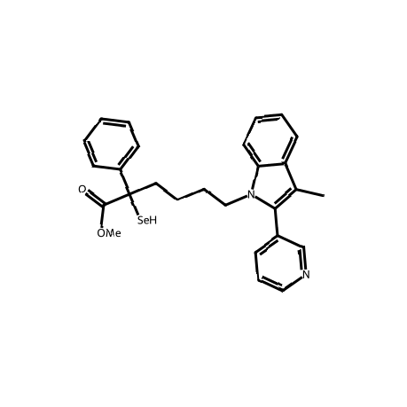 COC(=O)C([SeH])(CCCCn1c(-c2cccnc2)c(C)c2ccccc21)c1ccccc1